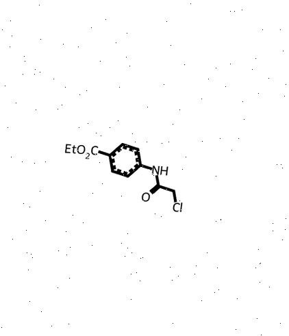 CCOC(=O)c1ccc(NC(=O)CCl)cc1